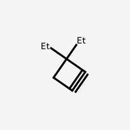 CCC1(CC)C#CC1